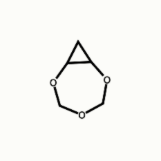 C1OCOC2CC2O1